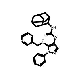 O=C(NC1C2CC3CC(C2)CC1C3)Oc1cnn(-c2ccccc2)c1NCc1cccnc1